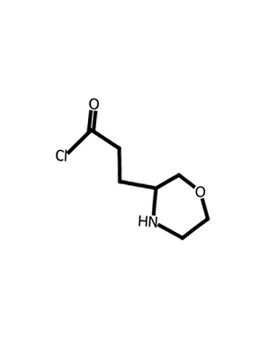 O=C(Cl)CCC1COCCN1